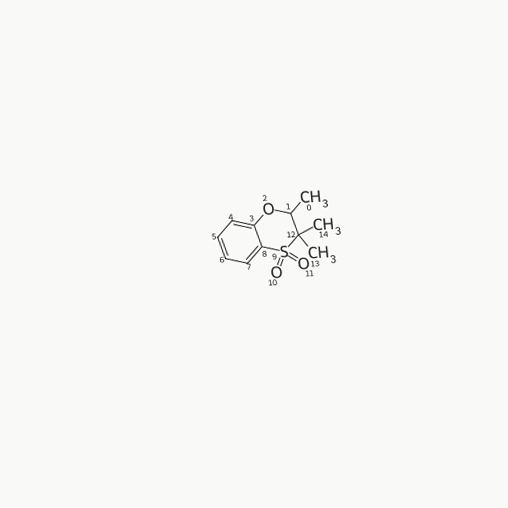 CC1Oc2ccccc2S(=O)(=O)C1(C)C